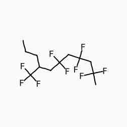 CCCC(CC(F)(F)CC(F)(F)CC(C)(F)F)C(F)(F)F